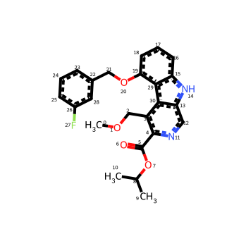 COCc1c(C(=O)OC(C)C)ncc2[nH]c3cccc(OCc4cccc(F)c4)c3c12